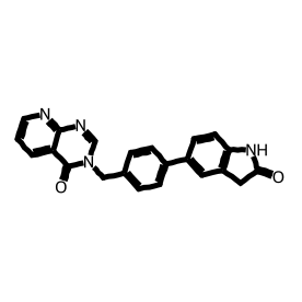 O=C1Cc2cc(-c3ccc(Cn4cnc5ncccc5c4=O)cc3)ccc2N1